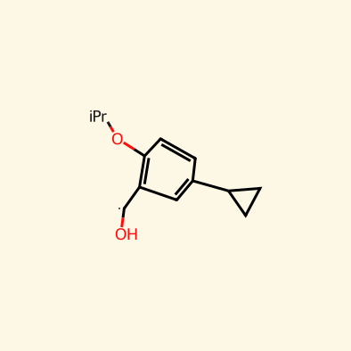 CC(C)Oc1ccc(C2CC2)cc1[CH]O